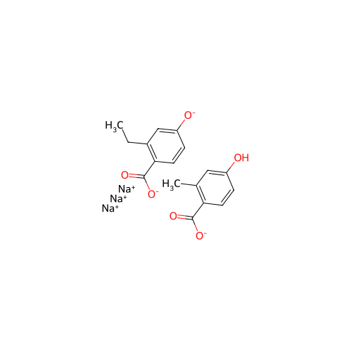 CCc1cc([O-])ccc1C(=O)[O-].Cc1cc(O)ccc1C(=O)[O-].[Na+].[Na+].[Na+]